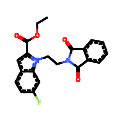 CCOC(=O)c1cc2ccc(F)cc2n1CCN1C(=O)c2ccccc2C1=O